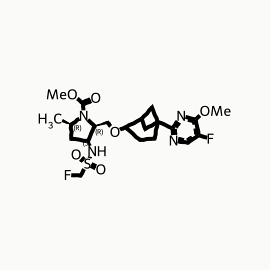 COC(=O)N1[C@H](C)C[C@H](NS(=O)(=O)CF)[C@@H]1COC1CCC2(c3ncc(F)c(OC)n3)CC1C2